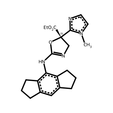 CCOC(=O)[C@@]1(c2nccn2C)CN=C(Nc2c3c(cc4c2CCC4)CCC3)O1